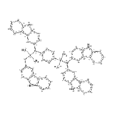 CC(C)(Cc1ccc2[nH]c3ccccc3c2c1)N(c1ccc(C(C)(C)N(c2ccc3[nH]c4ccccc4c3c2)c2ccc3[nH]c4ccccc4c3c2)cc1)c1ccc2[nH]c3ccccc3c2c1